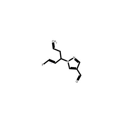 C=CCC(/C=C/F)n1cc(C=O)cn1